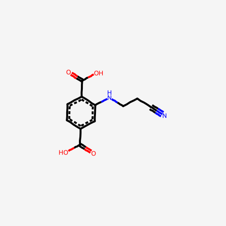 N#CCCNc1cc(C(=O)O)ccc1C(=O)O